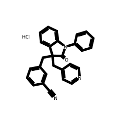 Cl.N#Cc1cccc(CC2(Cc3ccncc3)C(=O)N(c3ccccc3)c3ccccc32)c1